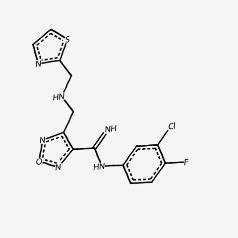 N=C(Nc1ccc(F)c(Cl)c1)c1nonc1CNCc1nccs1